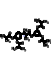 C=C(C)C(=O)Oc1cc(OC(=O)C(=C)C)cc(OC(=O)/C(C)=C(\C)c2ccc(OC(=O)C(=C)C)c(OC(=O)C(=C)C)c2)c1